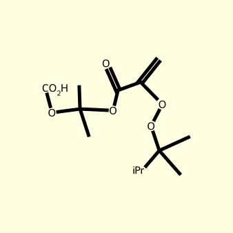 C=C(OOC(C)(C)C(C)C)C(=O)OC(C)(C)OC(=O)O